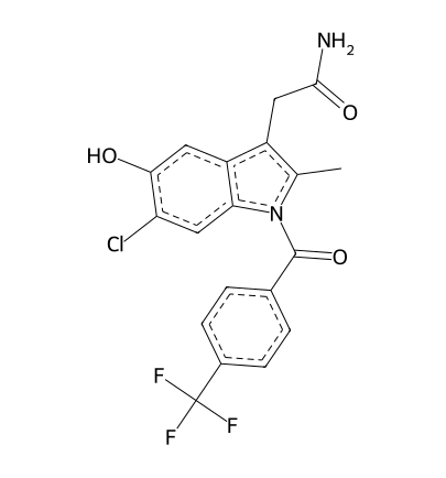 Cc1c(CC(N)=O)c2cc(O)c(Cl)cc2n1C(=O)c1ccc(C(F)(F)F)cc1